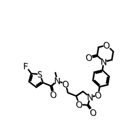 CN(OCC1CN(Oc2ccc(N3CCOCC3=O)cc2)C(=O)O1)C(=O)c1ccc(F)s1